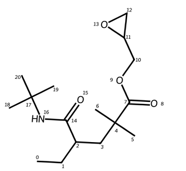 CCC(CC(C)(C)C(=O)OCC1CO1)C(=O)NC(C)(C)C